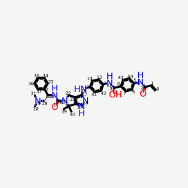 C=CC(=O)Nc1ccc(C(O)Nc2ccc(Nc3n[nH]c4c3CN(C(=O)N[C@H](CN(C)C)c3ccccc3)C4(C)C)cc2)cc1